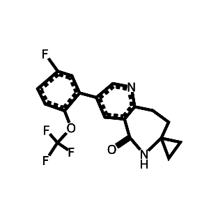 O=C1NC2(CCc3ncc(-c4cc(F)ccc4OC(F)(F)F)cc31)CC2